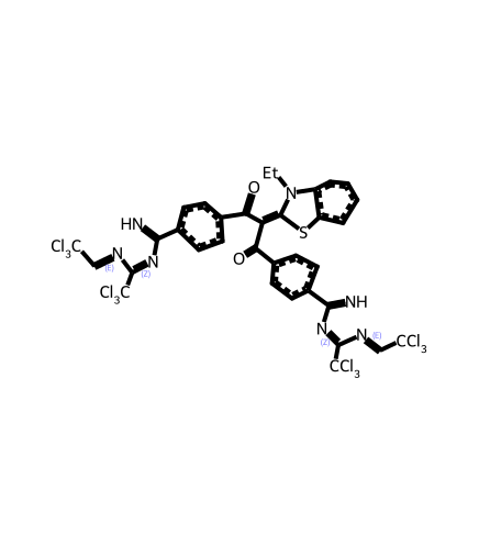 CCN1C(=C(C(=O)c2ccc(C(=N)/N=C(\N=C\C(Cl)(Cl)Cl)C(Cl)(Cl)Cl)cc2)C(=O)c2ccc(C(=N)/N=C(\N=C\C(Cl)(Cl)Cl)C(Cl)(Cl)Cl)cc2)Sc2ccccc21